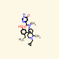 CCc1ccc(O)cc1C12CCN(CC3CC3)C(C)C13CCC(N(C)C(=O)c1cc(=O)[nH]cn1)C2CC3